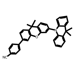 CC1(C)c2ccc(-c3ccc(C#N)cc3)cc2Oc2cc(N3c4ccccc4C(C)(C)c4ccccc43)ccc21